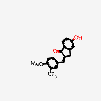 COc1ccc(C=C2Cc3cc(O)ccc3C2=O)cc1C(F)(F)F